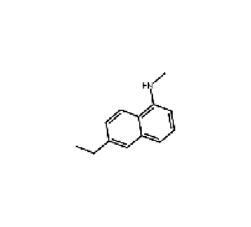 CCc1ccc2c(NC)cccc2c1